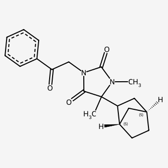 CN1C(=O)N(CC(=O)c2ccccc2)C(=O)C1(C)C1C[C@H]2CC[C@H]1C2